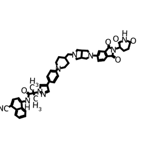 CC(C)(C(=O)Nc1ccc(C#N)c2ccccc12)n1cc(-c2ccc(N3CCC(CN4CC5CN(c6ccc7c(c6)C(=O)N(C6CCC(=O)NC6=O)C7=O)CC5C4)CC3)cc2)cn1